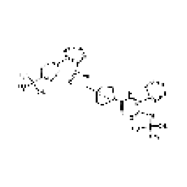 CC(C)(C)NC(=O)[C@@H](NC(=O)C12CCC(CNC(=O)c3ccccc3-c3ccc(C(C)(C)C)cc3)(CC1)CC2)c1ccccc1